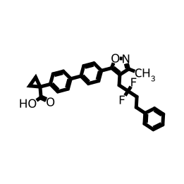 Cc1noc(-c2ccc(-c3ccc(C4(C(=O)O)CC4)cc3)cc2)c1CC(F)(F)CCc1ccccc1